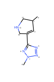 CC1C=C(c2nnn(C)n2)CNC1